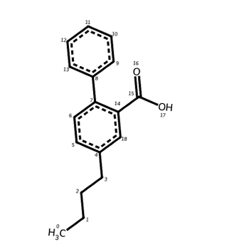 CCCCc1ccc(-c2ccccc2)c(C(=O)O)c1